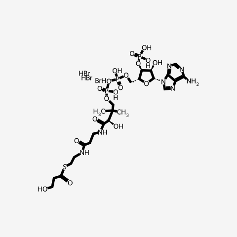 Br.Br.Br.CC(C)(COP(=O)(O)OP(=O)(O)OC[C@H]1O[C@@H](n2cnc3c(N)ncnc32)[C@H](O)[C@@H]1OP(=O)(O)O)[C@@H](O)C(=O)NCCC(=O)NCCSC(=O)CCO